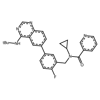 CC(C)(C)Nc1ncnc2ccc(-c3ccc(F)c(CN(C(=O)c4cccnc4)C4CC4)c3)cc12